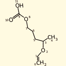 C=COC(C)CCCOC(=O)O